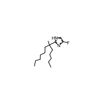 CCCCCCC(C)(CCCCC)c1nc(F)c[nH]1